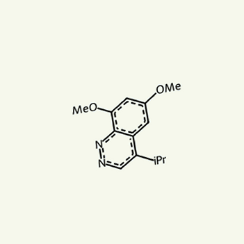 COc1cc(OC)c2nncc(C(C)C)c2c1